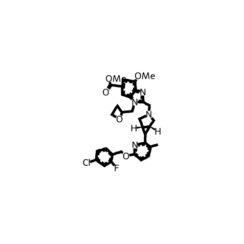 COC(=O)c1cc(OC)c2nc(CN3C[C@@H]4C(c5nc(OCc6ccc(Cl)cc6F)ccc5C)[C@@H]4C3)n(CC3CCO3)c2c1